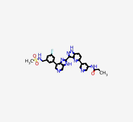 CCC(=O)Nc1cncc(-c2ccc3[nH]nc(-c4nc5c(-c6cc(F)cc(CNS(C)(=O)=O)c6)cncc5[nH]4)c3n2)c1